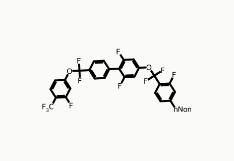 CCCCCCCCCc1ccc(C(F)(F)Oc2cc(F)c(-c3ccc(C(F)(F)Oc4ccc(C(F)(F)F)c(F)c4)cc3)c(F)c2)c(F)c1